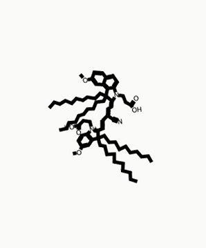 CCCCCCCCCCC1(CCCCCCCCCC)C(/C=C/C(C#N)=C/C=C2/N(CCC(=O)O)c3ccc4ccc(OC)cc4c3C2(CCCCCCCCCC)CCCCCCCCCC)=[N+](CCC(=O)O)c2ccc(OC)cc21